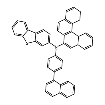 C1=CC2C=C(N(c3ccc(-c4cccc5ccccc45)cc3)c3ccc4c(c3)sc3ccccc34)c3ccc4c(c3C2C=C1)CCC=C4